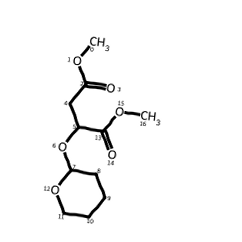 COC(=O)CC(OC1CCCCO1)C(=O)OC